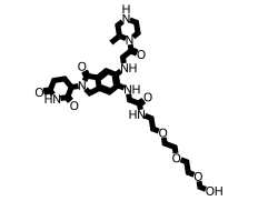 CC1CNCCN1C(=O)CNc1cc2c(cc1NCC(=O)NCCOCCOCCOCO)CN(C1CCC(=O)NC1=O)C2=O